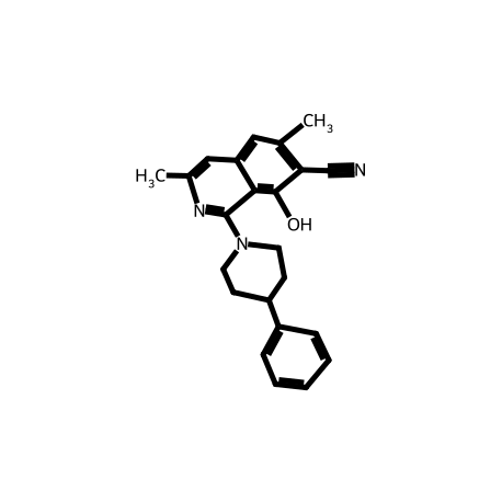 Cc1cc2cc(C)c(C#N)c(O)c2c(N2CCC(c3ccccc3)CC2)n1